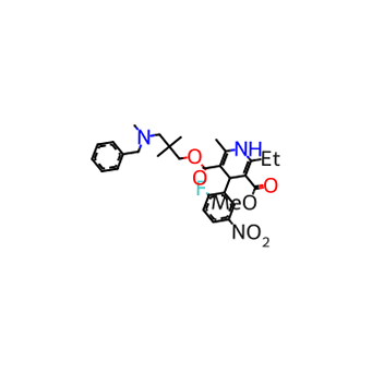 CCC1=C(C(=O)OC)C(c2cc([N+](=O)[O-])ccc2F)C(C(=O)OCC(C)(C)CN(C)Cc2ccccc2)=C(C)N1